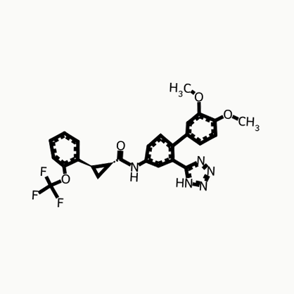 COc1ccc(-c2ccc(NC(=O)[C@@H]3C[C@H]3c3ccccc3OC(F)(F)F)cc2-c2nnn[nH]2)cc1OC